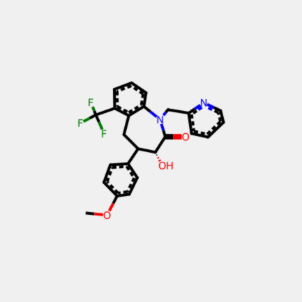 COc1ccc(C2Cc3c(cccc3C(F)(F)F)N(Cc3ccccn3)C(=O)[C@@H]2O)cc1